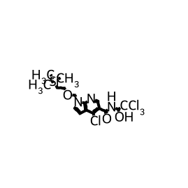 C[Si](C)(C)CCOCn1ccc2c(Cl)c(C(=O)NC(O)C(Cl)(Cl)Cl)cnc21